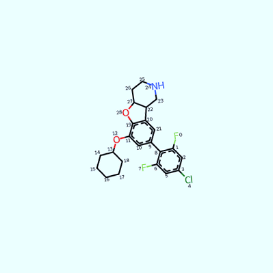 Fc1cc(Cl)cc(F)c1-c1cc(OC2CCCCC2)c2c(c1)C1CNCCC1O2